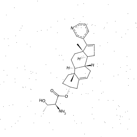 C[C@H](O)[C@H](N)C(=O)O[C@@H]1CC[C@@]2(C)C(=CC[C@@H]3[C@@H]2CC[C@]2(C)C(c4cccnc4)=CC[C@@H]32)C1